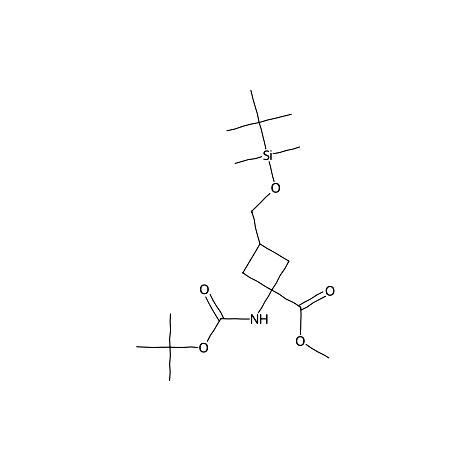 COC(=O)C1(NC(=O)OC(C)(C)C)CC(CO[Si](C)(C)C(C)(C)C)C1